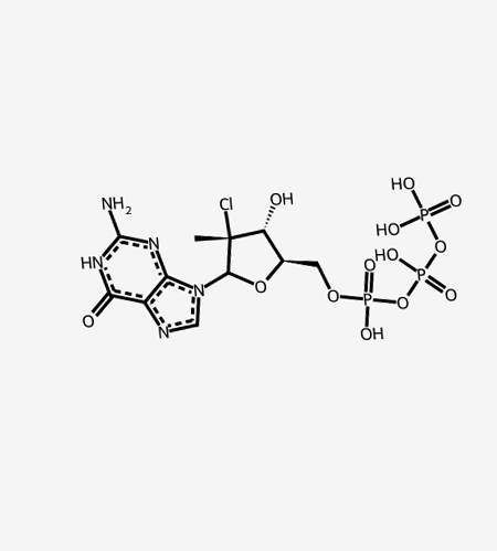 C[C@]1(Cl)C(n2cnc3c(=O)[nH]c(N)nc32)O[C@H](COP(=O)(O)OP(=O)(O)OP(=O)(O)O)[C@H]1O